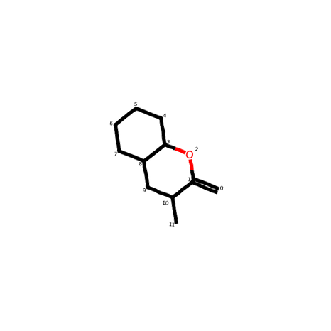 C=C1OC2CCCCC2CC1C